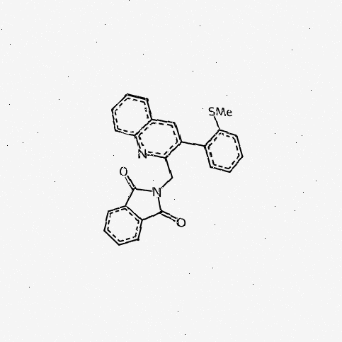 CSc1ccccc1-c1cc2ccccc2nc1CN1C(=O)c2ccccc2C1=O